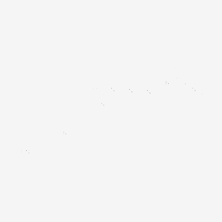 COC1CC(N(C)Cc2ccc(-n3ccc(NC(=O)N4CCN(C(=O)C(C)(C)N)CC4)nc3=O)cc2)CCC1N